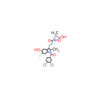 Cc1c(CCC(=O)NC[C@H](C)C(=O)O)c2cc(O)c(F)cc2n1C(=O)c1ccc(Cl)c(Cl)c1